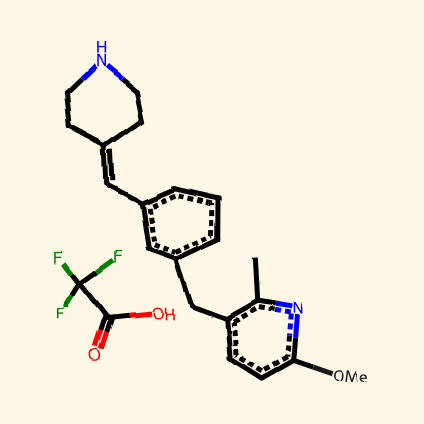 COc1ccc(Cc2cccc(C=C3CCNCC3)c2)c(C)n1.O=C(O)C(F)(F)F